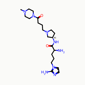 CN1CCN(C(=O)CCCN2CC[C@@H](NC(=O)C(N)CCCn3ccnc3N)C2)CC1